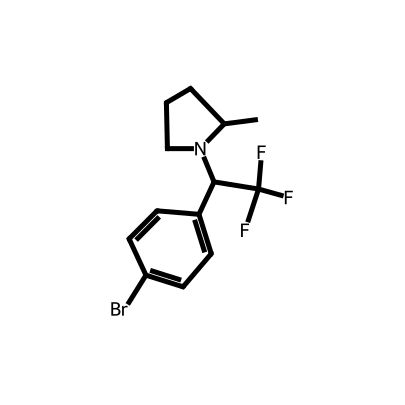 CC1CCCN1C(c1ccc(Br)cc1)C(F)(F)F